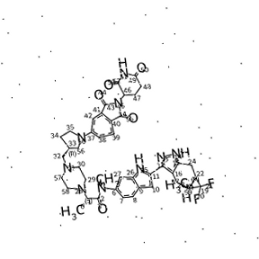 C[C@@H](C(=O)N(C)c1ccc2cc(-c3n[nH]c4c3C[C@@H]3C(F)(F)[C@]3(C)C4)[nH]c2c1)N1CCN(C[C@H]2CCN(c3ccc4c(c3)C(=O)N(C3CCC(=O)NC3=O)C4=O)C2)CC1